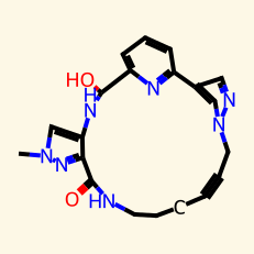 Cn1cc2c(n1)C(=O)NCCCC#CCn1cc(cn1)-c1cccc(n1)C(O)N2